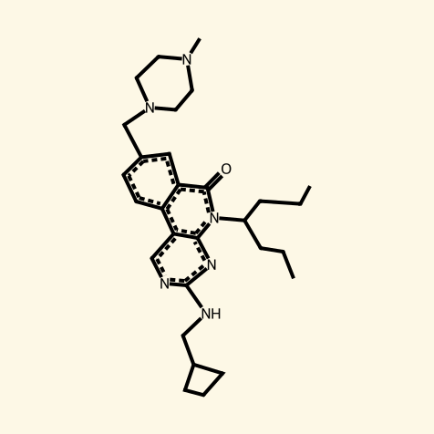 CCCC(CCC)n1c(=O)c2cc(CN3CCN(C)CC3)ccc2c2cnc(NCC3CCC3)nc21